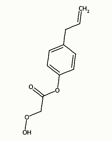 C=CCc1ccc(OC(=O)COO)cc1